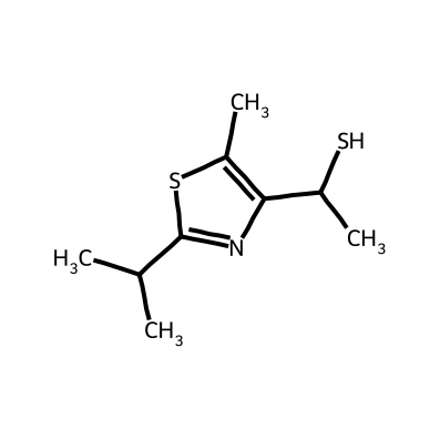 Cc1sc(C(C)C)nc1C(C)S